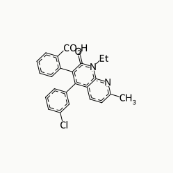 CCn1c(=O)c(-c2ccccc2C(=O)O)c(-c2cccc(Cl)c2)c2ccc(C)nc21